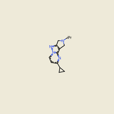 CC(C)N1Cc2nn3ccc(C4CC4)nc3c2C1